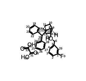 Fc1cccc(CO[C@@H]2C3CCN(CC3)[C@@H]2C(c2ccccc2)c2ccccc2)c1.O=C(O)C(=O)O